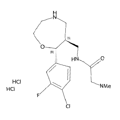 CNCC(=O)NC[C@@H]1CNCCO[C@H]1c1ccc(Cl)c(F)c1.Cl.Cl